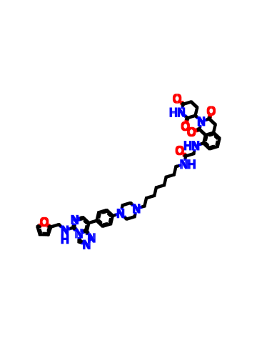 O=C(CNc1cccc2c1C(=O)N(C1CCC(=O)NC1=O)C(=O)C2)NCCCCCCCCN1CCN(c2ccc(-c3cnc(NCc4ccco4)n4cnnc34)cc2)CC1